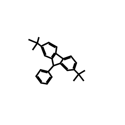 CC(C)(C)c1ccc2c(c1)C(c1ccccc1)c1cc(C(C)(C)C)ccc1-2